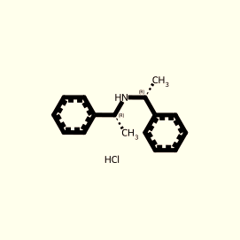 C[C@@H](N[C@H](C)c1ccccc1)c1ccccc1.Cl